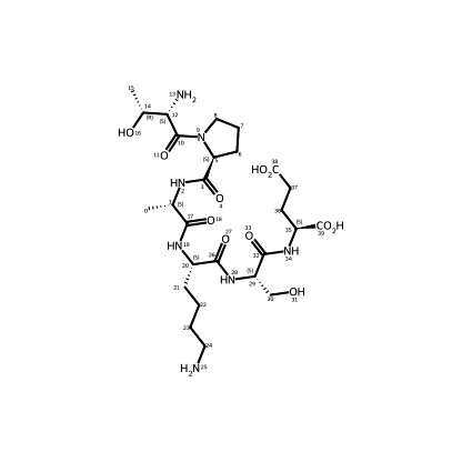 C[C@H](NC(=O)[C@@H]1CCCN1C(=O)[C@@H](N)[C@@H](C)O)C(=O)N[C@@H](CCCCN)C(=O)N[C@@H](CO)C(=O)N[C@@H](CCC(=O)O)C(=O)O